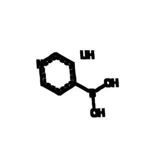 OB(O)c1ccncc1.[LiH]